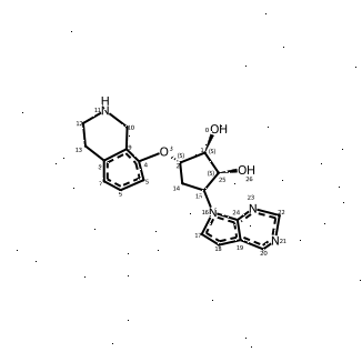 O[C@@H]1[C@@H](Oc2cccc3c2CNCC3)CC(n2ccc3cncnc32)[C@@H]1O